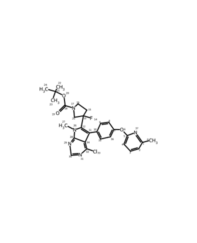 Cc1cccc(Oc2ccc(-c3c(C4(F)CCN(C(=O)OC(C)(C)C)C4)n(C)c4ncnc(Cl)c34)cc2)n1